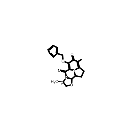 C[C@@H]1COC2C3CCc4c(I)c(=O)c(OCc5ccccc5)c(n43)C(=O)N21